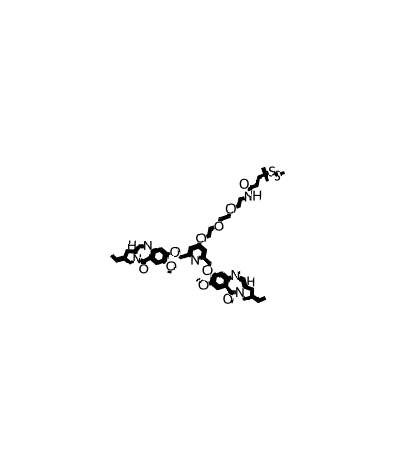 C/C=C1\C[C@H]2C=Nc3cc(OCc4cc(OCCOCCOCCNC(=O)CCC(C)(C)SSC)cc(COc5cc6c(cc5OC)C(=O)N5C/C(=C/C)C[C@H]5C=N6)n4)c(OC)cc3C(=O)N2C1